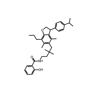 CCCc1c(C)c(CC(C)(C)CCNC(=O)c2ccccc2O)c(C)c2c1OCC2c1ccc(C(C)C)cc1